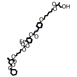 C=C(CC(=O)OC1CCCCC1)C(=O)OCCCCOC(=O)Oc1ccc(OC(=O)/C=C/c2ccc(OCCCCCCOC(=O)C(C)CO)cc2)cc1CC